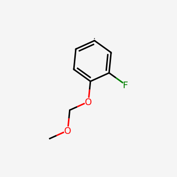 COCOc1cc[c]cc1F